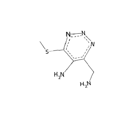 CSc1nnnc(CN)c1N